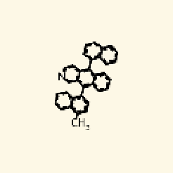 Cc1ccc(-c2c3ccccc3c(-c3cccc4ccccc34)c3ccncc23)c2ccccc12